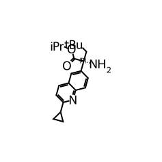 CC(C)OC(=O)[C@@](N)(CC(C)(C)C)c1ccc2nc(C3CC3)ccc2c1